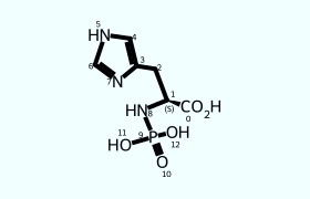 O=C(O)[C@H](Cc1c[nH]cn1)NP(=O)(O)O